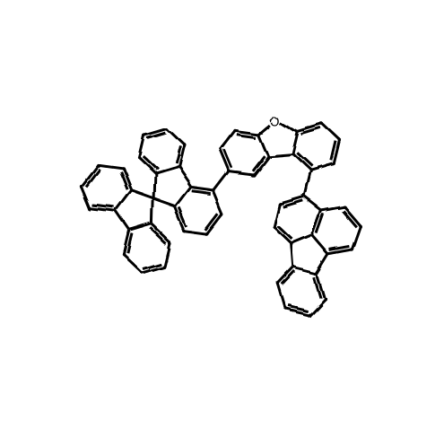 c1ccc2c(c1)-c1cccc3c(-c4cccc5oc6ccc(-c7cccc8c7-c7ccccc7C87c8ccccc8-c8ccccc87)cc6c45)ccc-2c13